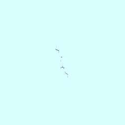 CCC=COC(=O)CCC(=O)OC=CCC